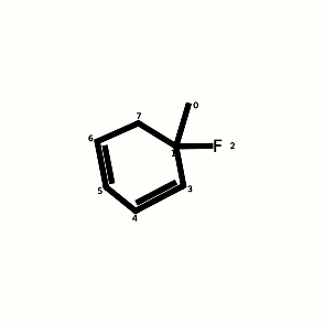 CC1(F)C=CC=[C]C1